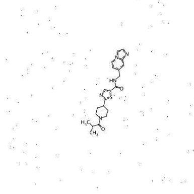 CC(C)C(=O)N1CCC(c2ncc(C(=O)NCc3ccn4ccnc4c3)s2)CC1